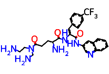 NCCN(CN)C(=O)CC[C@H](N)C(=O)N/C(=C/c1ccc(C(F)(F)F)cc1)C(=O)Nc1cnc2ccccc2c1